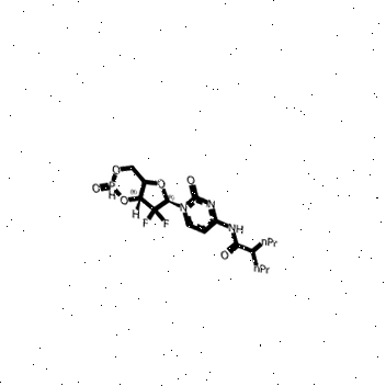 CCCC(CCC)C(=O)Nc1ccn([C@@H]2OC3CO[PH](=O)O[C@H]3C2(F)F)c(=O)n1